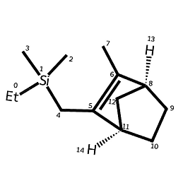 CC[Si](C)(C)CC1=C(C)[C@H]2CC[C@@H]1C2